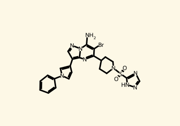 Nc1c(Br)c(C2CCN(S(=O)(=O)c3ncn[nH]3)CC2)nc2c(-c3ccn(-c4ccccc4)c3)cnn12